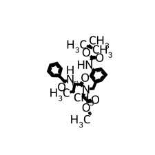 CCOC(=O)CN(Cc1cccc(NC(=O)OC(C)(C)C)c1)C(=O)[C@@H](NC(=O)c1ccccc1)C(C)C